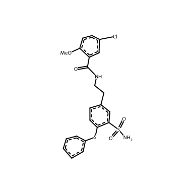 COc1ccc(Cl)cc1C(=O)NCCc1ccc(Sc2ccccc2)c(S(N)(=O)=O)c1